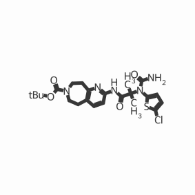 CC(C)(C)OC(=O)N1CCc2ccc(NC(=O)C(C)(C)N(C(N)=O)c3ccc(Cl)s3)nc2CC1